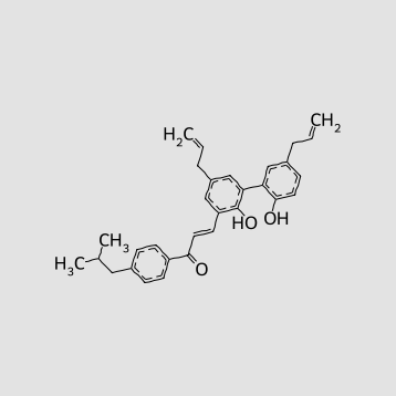 C=CCc1ccc(O)c(-c2cc(CC=C)cc(C=CC(=O)c3ccc(CC(C)C)cc3)c2O)c1